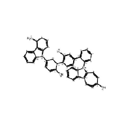 CC1CC=Cc2c1c1ccccc1n2C1=CC=C(C#N)C(c2ccc(-c3ccccc3-n3c4c(c5ccccc53)C=C=C(C#N)C=C4)cc2C#N)C1